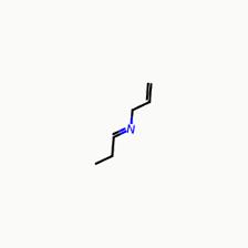 C=CCN=CCC